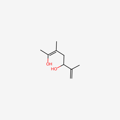 C=C(C)C(O)CC(C)=C(C)O